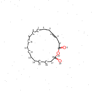 O=C1C/C=C\CCCCCCCCCCCCCC(=O)O1